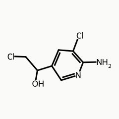 Nc1ncc(C(O)CCl)cc1Cl